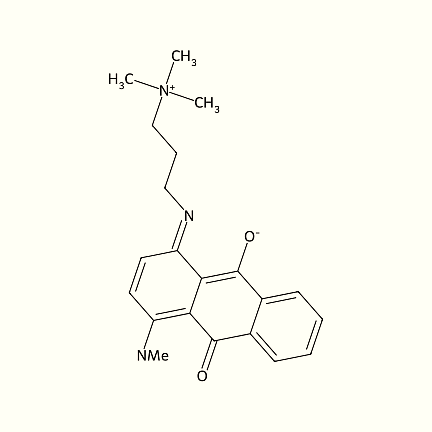 CNC1=C2C(=O)c3ccccc3C([O-])=C2C(=NCCC[N+](C)(C)C)C=C1